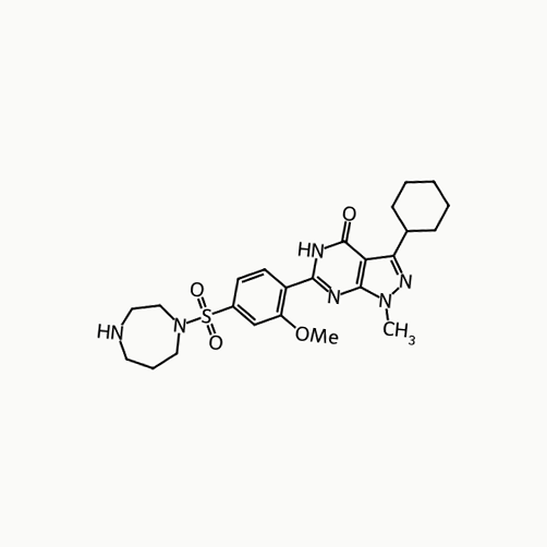 COc1cc(S(=O)(=O)N2CCCNCC2)ccc1-c1nc2c(c(C3CCCCC3)nn2C)c(=O)[nH]1